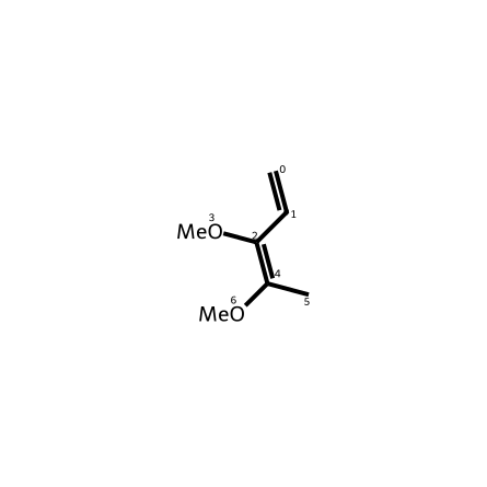 C=C/C(OC)=C(\C)OC